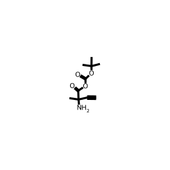 C#CC(C)(N)C(=O)OC(=O)OC(C)(C)C